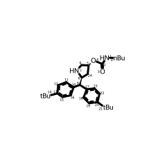 CCCCNC(=O)O[C@H]1CN[C@H](C(c2ccc(C(C)(C)C)cc2)c2ccc(C(C)(C)C)cc2)C1